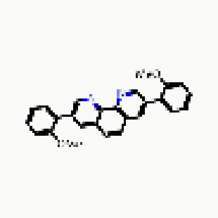 COc1ccccc1-c1cnc2c(ccc3cc(-c4ccccc4OC)cnc32)c1